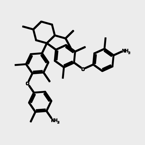 Cc1cc(Oc2c(C)cc(C3(c4cc(C)c(Oc5ccc(N)c(C)c5)c(C)c4)CC(C)CCC3C(C)C)cc2C)ccc1N